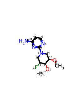 CO[C@H]1[C@@H](F)CN(c2nccc(N)n2)C[C@H]1OC